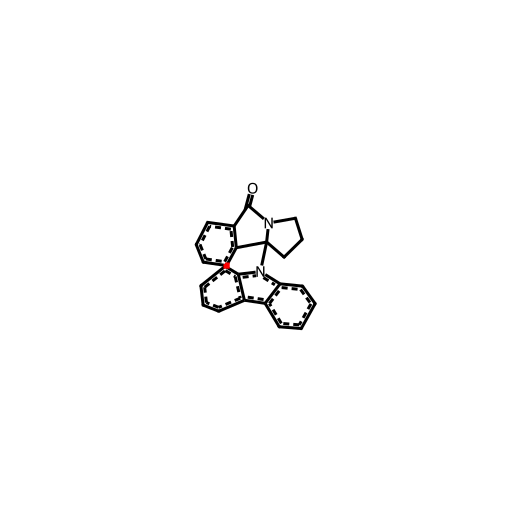 O=C1c2ccccc2C2(n3c4ccccc4c4ccccc43)CCCN12